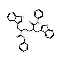 O=C(Nc1ccccc1)C(Cc1c[nH]c2ccccc12)SSC(Cc1c[nH]c2ccccc12)C(=O)Nc1ccccc1